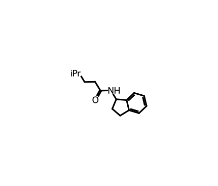 CC(C)CCC(=O)NC1CCc2ccccc21